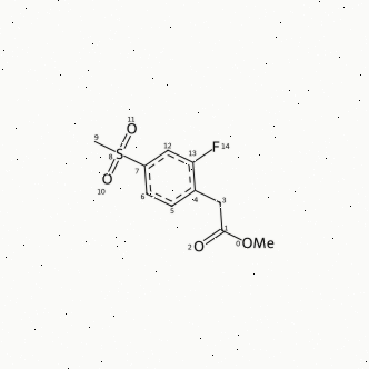 COC(=O)Cc1ccc(S(C)(=O)=O)cc1F